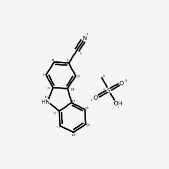 CS(=O)(=O)O.N#Cc1ccc2[nH]c3ccccc3c2c1